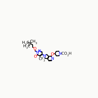 C[Si](C)(C)CCOCn1ncc(N2Cc3ccnc(OC4CCN(C(=O)O)CC4)c3C2)c(C(F)(F)F)c1=O